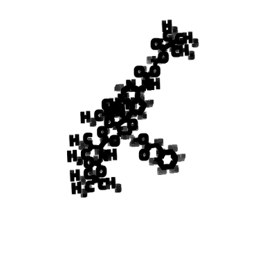 CC(C)[C@H](NC(=O)OC(C)(C)C)C(=O)O[C@H]1[C@@H](O[Si](C)(C)C)[C@](C#N)(c2ccc3c(NC(=O)OCOC(=O)C(C)(C)C)ncnn23)O[C@@H]1COC(=O)Cc1ccccc1